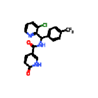 O=C(NC(c1ccc(C(F)(F)F)cc1)c1ncccc1Cl)c1ccc(=O)[nH]c1